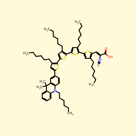 [C-]#[N+]/C(=C\c1sc(-c2sc(-c3sc(-c4sc(-c5ccc6c(c5)C(C)(C)c5ccccc5N6CCCCCC)cc4CCCCCC)cc3CCCCCC)cc2CCCCCC)cc1CCCCCC)C(=O)O